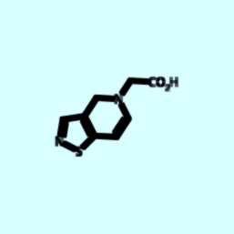 O=C(O)CN1C=Cc2sncc2C1